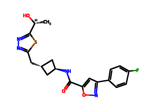 C[C@@H](O)c1nnc(C[C@H]2C[C@H](NC(=O)c3cc(-c4ccc(F)cc4)no3)C2)s1